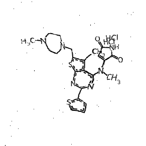 Cc1c(CN2CCN(C)CC2)sc2nc(-c3cccs3)nc(N(C)C3=CC(=O)NC3=O)c12.Cl.Cl